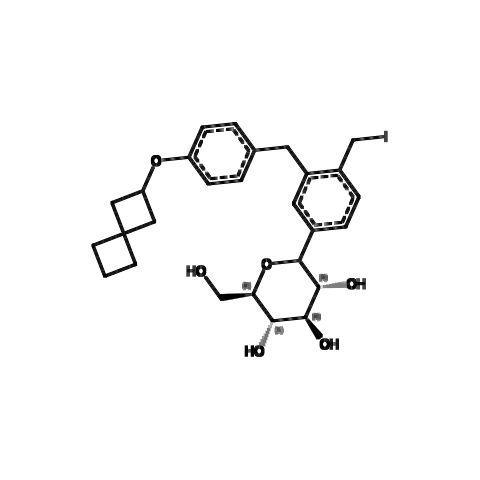 OC[C@H]1OC(c2ccc(CI)c(Cc3ccc(OC4CC5(CCC5)C4)cc3)c2)[C@H](O)[C@@H](O)[C@@H]1O